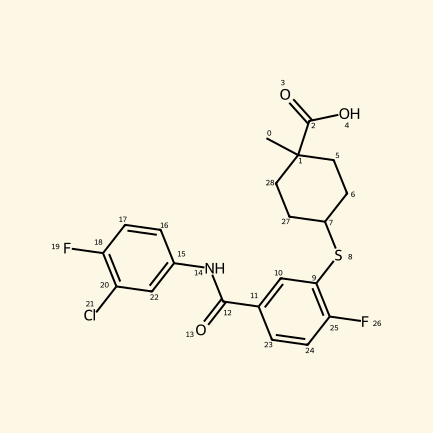 CC1(C(=O)O)CCC(Sc2cc(C(=O)Nc3ccc(F)c(Cl)c3)ccc2F)CC1